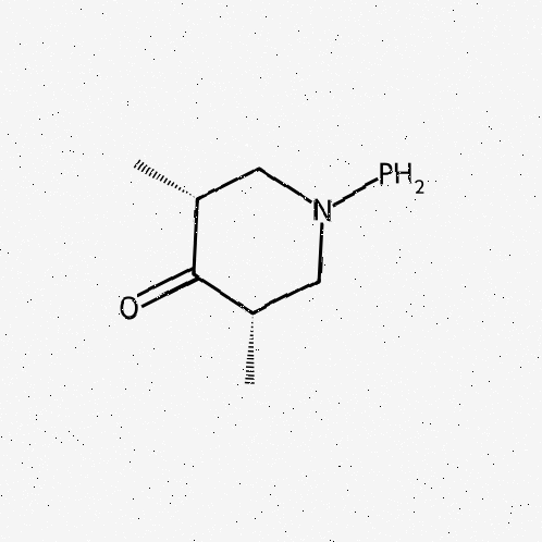 C[C@@H]1CN(P)C[C@H](C)C1=O